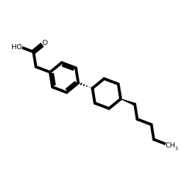 CCCCC[C@H]1CC[C@H](c2ccc(CC(=O)O)cc2)CC1